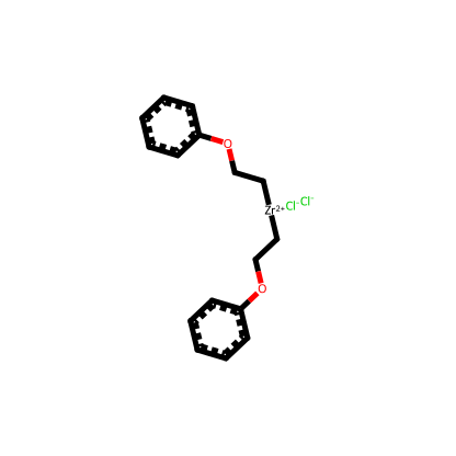 [Cl-].[Cl-].c1ccc(OC[CH2][Zr+2][CH2]COc2ccccc2)cc1